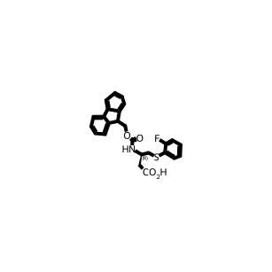 O=C(O)C[C@H](CSc1ccccc1F)NC(=O)OCC1c2ccccc2-c2ccccc21